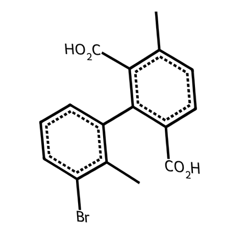 Cc1ccc(C(=O)O)c(-c2cccc(Br)c2C)c1C(=O)O